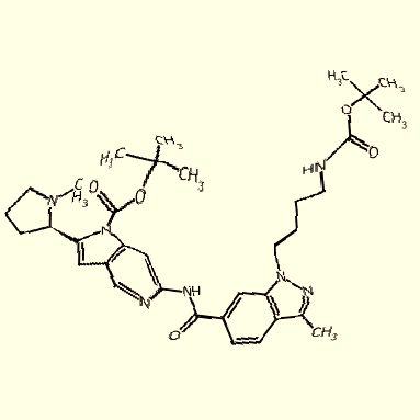 Cc1nn(CCCCNC(=O)OC(C)(C)C)c2cc(C(=O)Nc3cc4c(cn3)cc([C@H]3CCCN3C)n4C(=O)OC(C)(C)C)ccc12